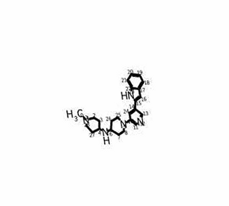 CN1CCC(NC2CCN(c3cncc(-c4cc5ccccc5[nH]4)c3)CC2)CC1